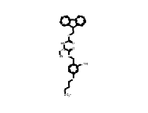 COc1cc(OCCCC(=O)O)ccc1COC(=O)[C@H](CC(C)C)NC(=O)OCC1c2ccccc2-c2ccccc21